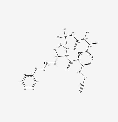 C#CCO[C@H](C)[C@H](NC(=O)[C@H](C)N(C)C(=O)OC(C)(C)C)C(=O)N1CCC[C@H]1CNCCc1ccccc1